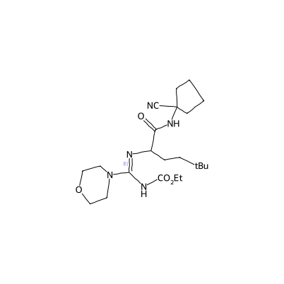 CCOC(=O)N/C(=N\C(CCC(C)(C)C)C(=O)NC1(C#N)CCCC1)N1CCOCC1